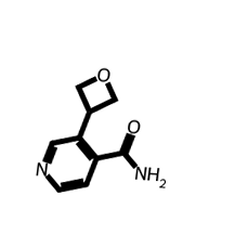 NC(=O)c1ccncc1C1COC1